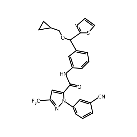 N#Cc1cccc(-n2nc(C(F)(F)F)cc2C(=O)Nc2cccc(C(OCC3CC3)c3nccs3)c2)c1